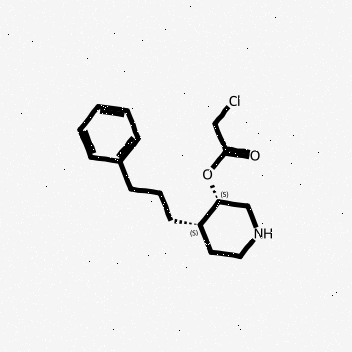 O=C(CCl)O[C@@H]1CNCC[C@@H]1CCCc1ccccc1